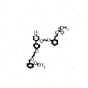 COC(=O)OCCc1ccccc1OCCO[C@H]1CNCC[C@@H]1c1ccc(OCCCOCc2ccccc2OC)cc1